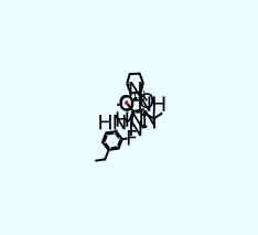 CCc1ccc(Nc2ncnc(O[C@H]3CC4CCC3N4C(=O)NC(=N)C(C)C)c2OC)c(F)c1